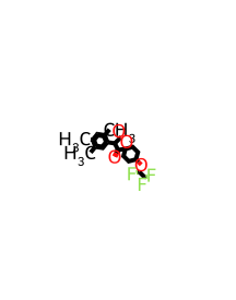 Cc1cc(C)c(C2C(=O)OC3(CCC(OC(F)C(F)F)CC3)C2=O)cc1C